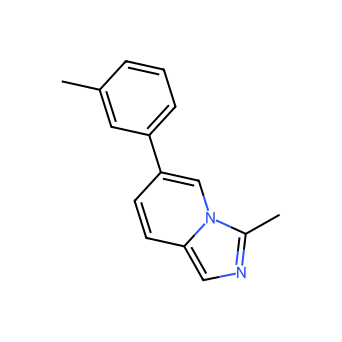 Cc1cccc(-c2ccc3cnc(C)n3c2)c1